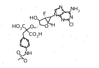 CS(=O)(=O)Nc1ccc(CC(OC[C@H]2O[C@H]3C(n4cnc5c(N)nc(Cl)nc54)[C@]3(F)[C@@H]2O)(C(=O)O)C(=O)O)cc1